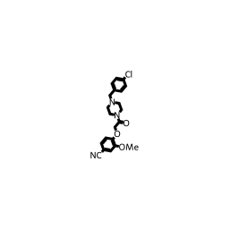 COc1cc(C#N)ccc1OCC(=O)N1CCN(Cc2ccc(Cl)cc2)CC1